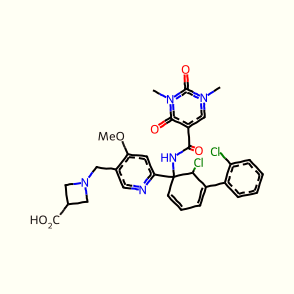 COc1cc(C2(NC(=O)c3cn(C)c(=O)n(C)c3=O)C=CC=C(c3ccccc3Cl)C2Cl)ncc1CN1CC(C(=O)O)C1